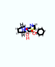 O[C@@H](COC1CCCCC1)CN1[C@@H]2CC[C@H]1CN(c1nccs1)C2